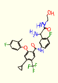 Cc1cc(F)ccc1Oc1cc(C2CC2)c(C(F)(F)F)cc1C(=O)Nc1ccc(F)c(C(N)C(=O)NCCO)c1